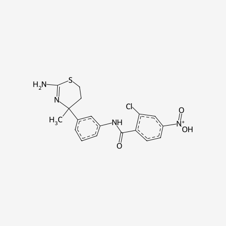 CC1(c2cccc(NC(=O)c3ccc([N+](=O)O)cc3Cl)c2)CCSC(N)=N1